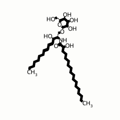 CCCCCCC/C=C/C=C/[C@@H](O)[C@H](CO[C@@H]1O[C@H](CO)[C@@H](O)C(O)C1O)NC(=O)C(O)CCCCCCCCCCCCCCCC